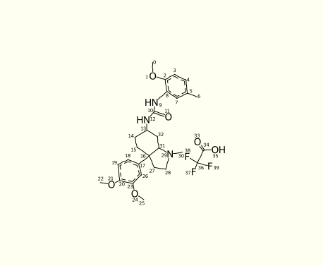 COc1ccc(C)cc1NC(=O)NC1CCC2(c3ccc(OC)c(OC)c3)CCN(C)C2C1.O=C(O)C(F)(F)F